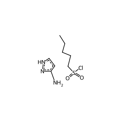 CCCCCS(=O)(=O)Cl.Nc1cc[nH]n1